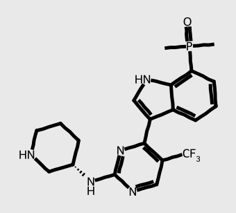 CP(C)(=O)c1cccc2c(-c3nc(N[C@H]4CCCNC4)ncc3C(F)(F)F)c[nH]c12